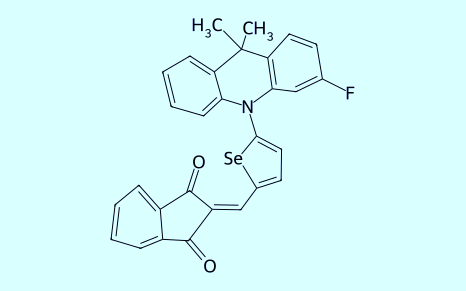 CC1(C)c2ccccc2N(c2ccc(C=C3C(=O)c4ccccc4C3=O)[se]2)c2cc(F)ccc21